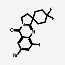 O=c1c2cc(Br)cc(I)c2nc2n1CCC21CCC(F)(F)CC1